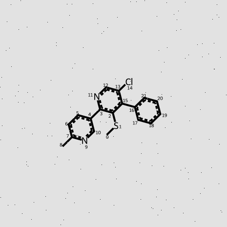 CSc1c(-c2ccc(C)nc2)ncc(Cl)c1-c1ccccc1